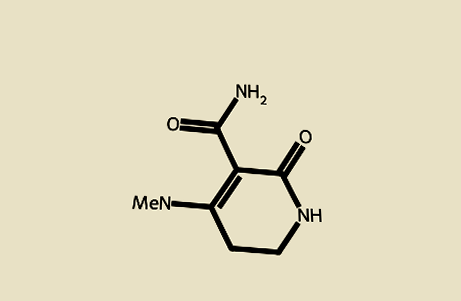 CNC1=C(C(N)=O)C(=O)NCC1